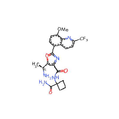 COc1ccc(-c2nc(C(=O)NC3(C(N)=O)CCC3)c([C@H](C)N)o2)c2ccc(C(F)(F)F)nc12